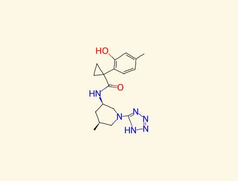 Cc1ccc(C2(C(=O)N[C@@H]3C[C@H](C)CN(c4nnn[nH]4)C3)CC2)c(O)c1